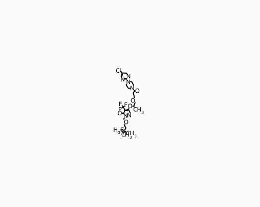 CC(COCCC(=O)N1CCN(c2ncc(Cl)cn2)CC1)Oc1cnn(COCC[Si](C)(C)C)c(=O)c1C(F)(F)F